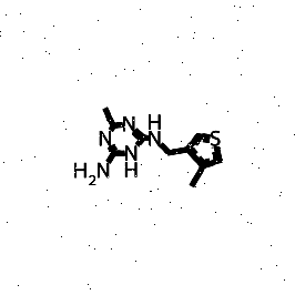 Cc1cscc1CNC1=NC(C)N=C(N)N1